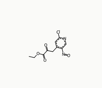 CCOC(=O)C(=O)Cc1cc(Cl)ncc1N=O